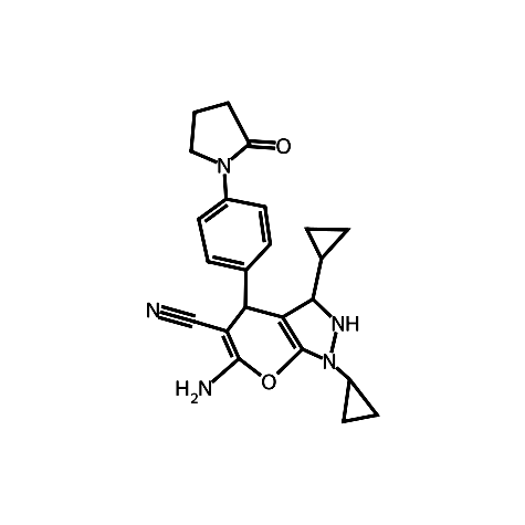 N#CC1=C(N)OC2=C(C1c1ccc(N3CCCC3=O)cc1)C(C1CC1)NN2C1CC1